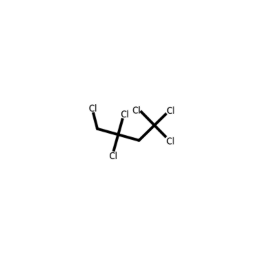 ClCC(Cl)(Cl)CC(Cl)(Cl)Cl